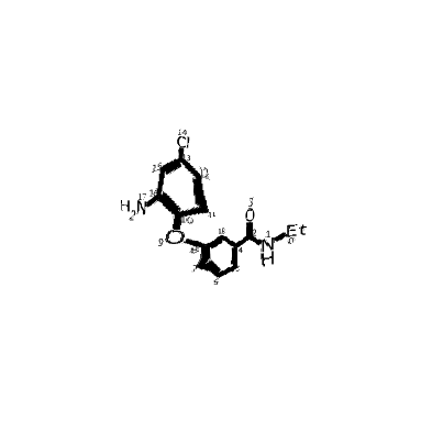 CCNC(=O)c1cccc(Oc2ccc(Cl)cc2N)c1